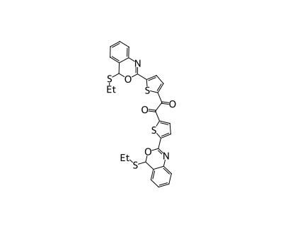 CCSC1OC(c2ccc(C(=O)C(=O)c3ccc(C4=Nc5ccccc5C(SCC)O4)s3)s2)=Nc2ccccc21